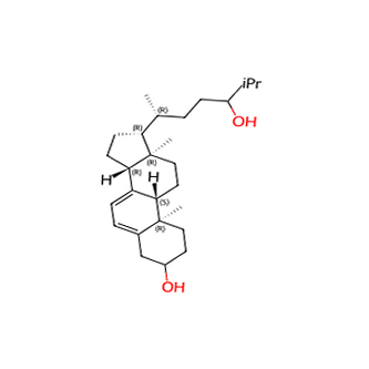 CC(C)C(O)CC[C@@H](C)[C@H]1CC[C@H]2C3=CC=C4CC(O)CC[C@]4(C)[C@H]3CC[C@]12C